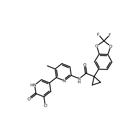 Cc1ccc(NC(=O)C2(c3ccc4c(c3)OC(F)(F)O4)CC2)nc1-c1c[nH]c(=O)c(Cl)c1